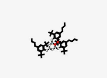 CCCCc1cc(C(C)(C)C)c(OP2OP(Oc3c(C(C)(C)C)cc(CCCC)cc3C(C)(C)C)OP(Oc3c(C(C)(C)C)cc(CCCC)cc3C(C)(C)C)O2)c(C(C)(C)C)c1